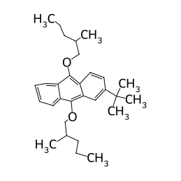 CCCC(C)COc1c2ccccc2c(OCC(C)CCC)c2cc(C(C)(C)C)ccc12